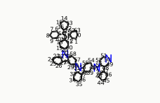 c1ccc([Si](c2ccccc2)(c2ccccc2)c2ccc(-n3c4ccccc4c4cc(-n5c6ccccc6c6cc(-n7c8ccccc8c8cnccc87)ccc65)ccc43)cc2)cc1